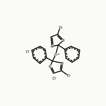 CCC1=B[C]([Zr+2][C]2(c3ccccc3)B=C(CC)C=N2)(c2ccccc2)N=C1.[Cl-].[Cl-]